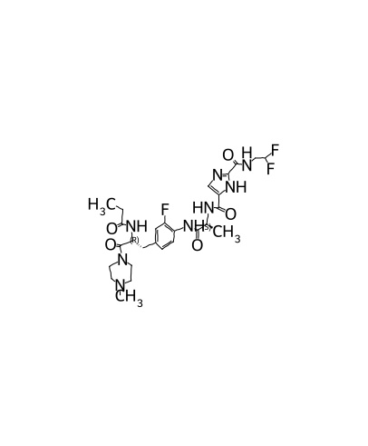 CCC(=O)N[C@H](Cc1ccc(NC(=O)[C@H](C)NC(=O)c2cnc(C(=O)NCC(F)F)[nH]2)c(F)c1)C(=O)N1CCN(C)CC1